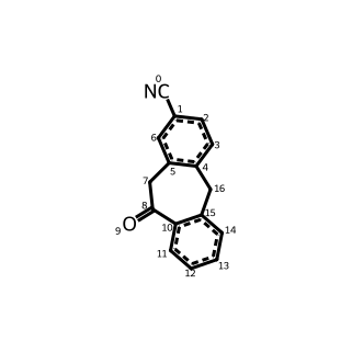 N#Cc1ccc2c(c1)CC(=O)c1ccccc1C2